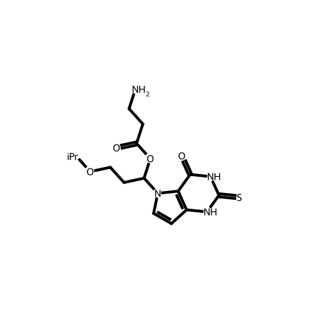 CC(C)OCCC(OC(=O)CCN)n1ccc2[nH]c(=S)[nH]c(=O)c21